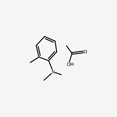 CC(=O)O.Cc1ccccc1N(C)C